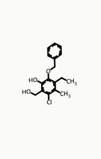 CCc1c(C)c(Cl)c(CO)c(O)c1OCc1ccccc1